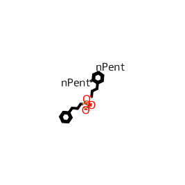 CCCCCc1ccc(CCCOS(=O)(=O)CCCc2ccccc2)c(CCCCC)c1